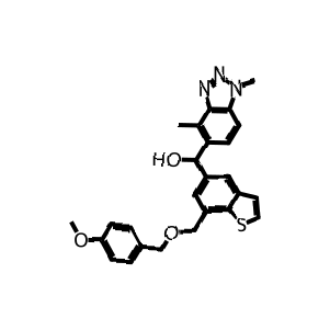 COc1ccc(COCc2cc(C(O)c3ccc4c(nnn4C)c3C)cc3ccsc23)cc1